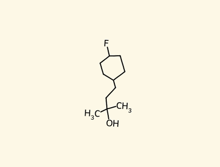 CC(C)(O)CCC1CCC(F)CC1